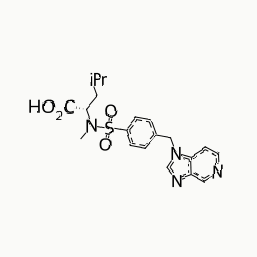 CC(C)C[C@@H](C(=O)O)N(C)S(=O)(=O)c1ccc(Cn2cnc3cnccc32)cc1